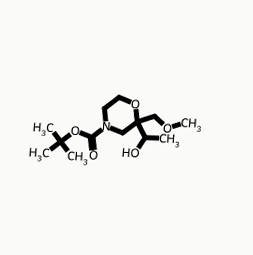 COCC1(C(C)O)CN(C(=O)OC(C)(C)C)CCO1